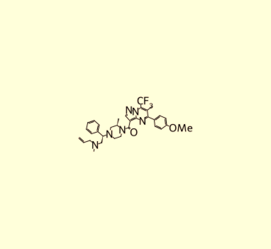 C=CCN(C)C[C@@H](c1ccccc1)N1CCN(C(=O)c2cnn3c(C(F)(F)F)c(C)c(-c4ccc(OC)cc4)nc23)[C@H](C)C1